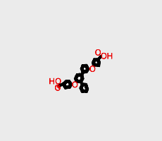 O=C(O)c1ccc(Oc2cccc(-c3ccc(Oc4ccc(C(=O)O)cc4)c(-c4ccccc4)c3)c2)cc1